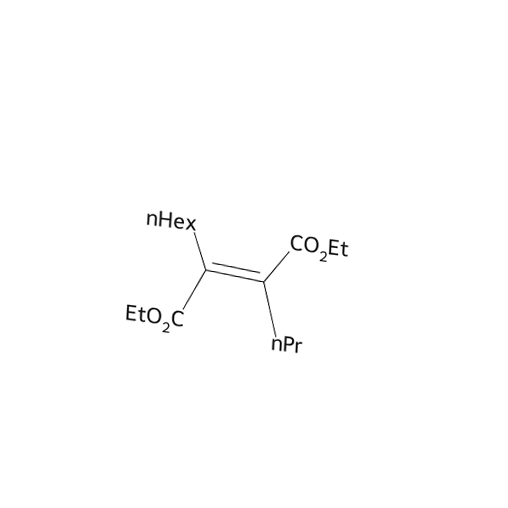 CCCCCCC(C(=O)OCC)=C(CCC)C(=O)OCC